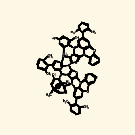 Cc1cc(C)c(N2c3cc(-c4c(C)cccc4C)cc4c3B(c3ccccc3O4)c3sc4c(c32)Oc2cc(-c3c(C)cccc3C)cc3c2B4c2sc4c(c2N3c2c(C)cc(C)cc2C)N(c2ccccc2)c2cc(-c3c(C)cccc3C)cc3c2B4c2ccccc2O3)c(C)c1